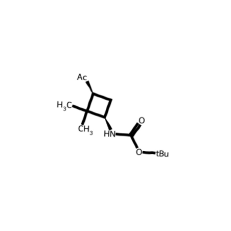 CC(=O)[C@H]1C[C@@H](NC(=O)OC(C)(C)C)C1(C)C